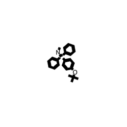 CN=P(c1ccccc1)(c1ccccc1)c1ccc(OC(C)(C)C)cc1